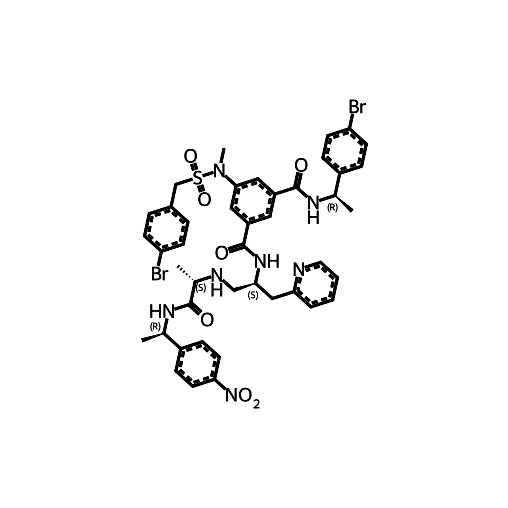 C[C@H](NC[C@H](Cc1ccccn1)NC(=O)c1cc(C(=O)N[C@H](C)c2ccc(Br)cc2)cc(N(C)S(=O)(=O)Cc2ccc(Br)cc2)c1)C(=O)N[C@H](C)c1ccc([N+](=O)[O-])cc1